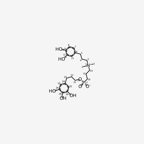 C[N+](C)(CCCc1ccc(O)c(O)c1)CCCP(=O)([O-])OCCCc1cc(O)c(O)c(O)c1